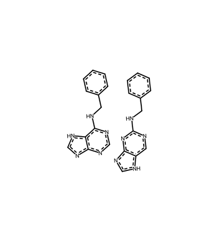 c1ccc(CNc2ncc3[nH]cnc3n2)cc1.c1ccc(CNc2ncnc3nc[nH]c23)cc1